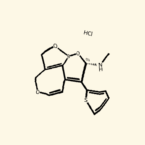 CN[C@H]1OB2OCC3=C2C(=C1c1cccs1)C=COC3.Cl